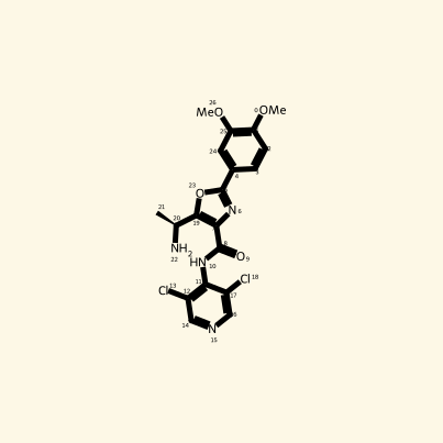 COc1ccc(-c2nc(C(=O)Nc3c(Cl)cncc3Cl)c([C@H](C)N)o2)cc1OC